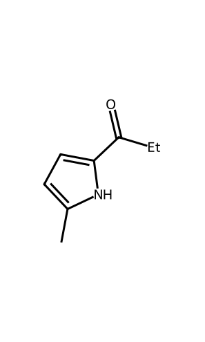 CCC(=O)c1ccc(C)[nH]1